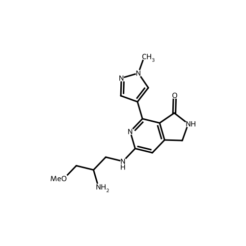 COCC(N)CNc1cc2c(c(-c3cnn(C)c3)n1)C(=O)NC2